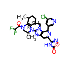 CC1CCC(Cn2c(N3[C@H](C)CN(C(=O)C(F)F)C[C@H]3C)nc3cc(-c4noc(=O)[nH]4)nc(-c4cncc(Cl)c4)c32)CC1